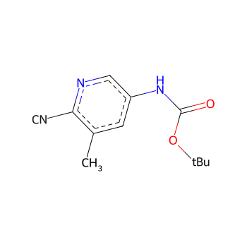 [C-]#[N+]c1ncc(NC(=O)OC(C)(C)C)cc1C